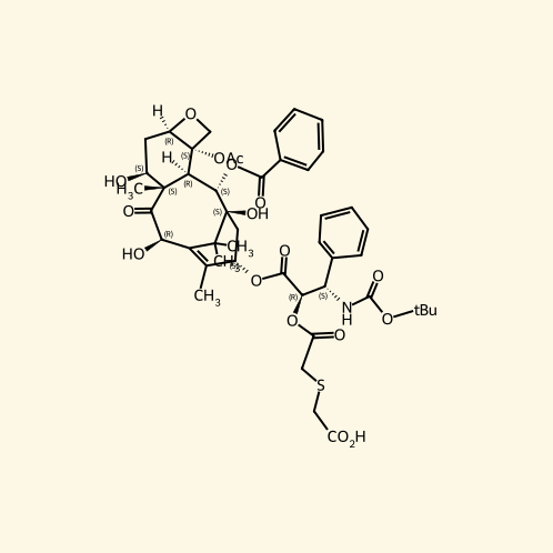 CC(=O)O[C@@]12CO[C@@H]1C[C@H](O)[C@@]1(C)C(=O)[C@H](O)C3=C(C)[C@@H](OC(=O)[C@H](OC(=O)CSCC(=O)O)[C@@H](NC(=O)OC(C)(C)C)c4ccccc4)C[C@@](O)([C@@H](OC(=O)c4ccccc4)[C@H]21)C3(C)C